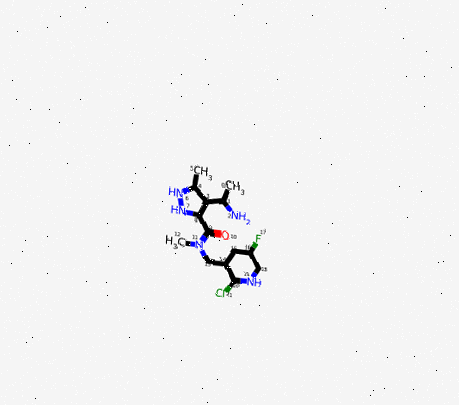 CC(N)C1C(C)NNC1C(=O)N(C)CC1CC(F)CNC1Cl